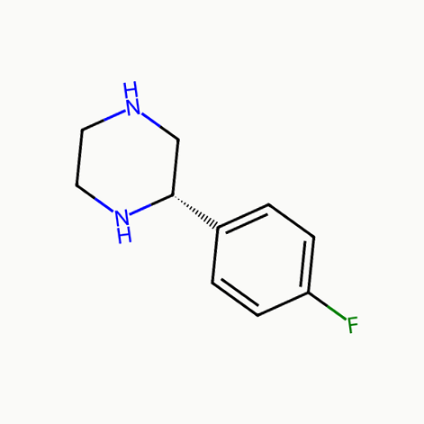 Fc1ccc([C@H]2CNCCN2)cc1